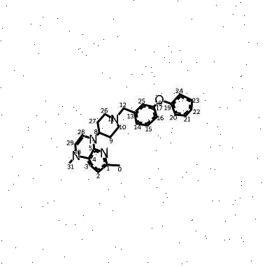 Cc1ccc2c(n1)N(C1CCN(Cc3cccc(Oc4ccccc4)c3)CC1)C=CN2C